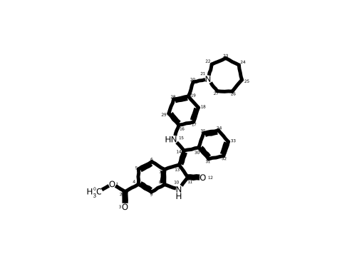 COC(=O)c1ccc2c(c1)NC(=O)C2=C(Nc1ccc(CN2CCCCCC2)cc1)c1ccccc1